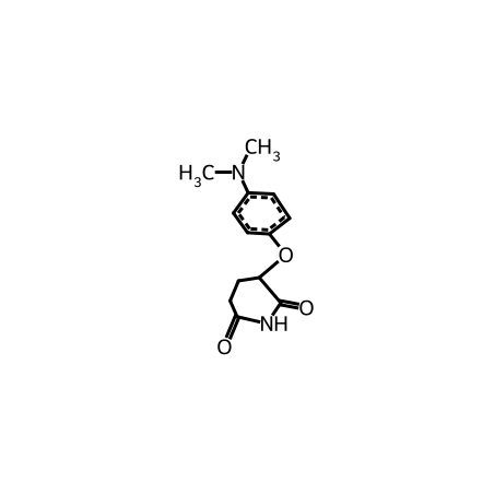 CN(C)c1ccc(OC2CCC(=O)NC2=O)cc1